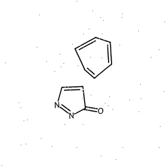 O=C1C=CN=N1.c1ccccc1